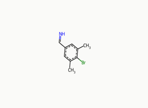 Cc1cc(C=N)cc(C)c1Br